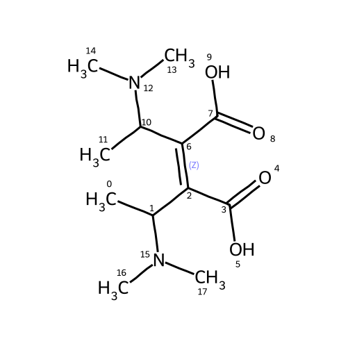 CC(/C(C(=O)O)=C(/C(=O)O)C(C)N(C)C)N(C)C